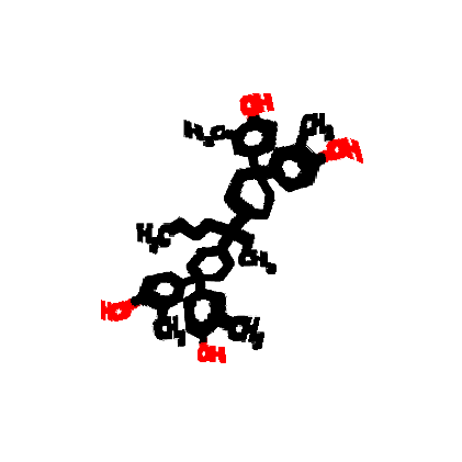 CCCCC(CC)(C1CCC(c2ccc(O)c(C)c2)(c2ccc(O)c(C)c2)CC1)C1CCC(c2ccc(O)c(C)c2)(c2ccc(O)c(C)c2)CC1